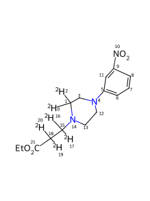 [2H]C1([2H])CN(c2cccc([N+](=O)[O-])c2)CCN1C([2H])([2H])C([2H])([2H])C(=O)OCC